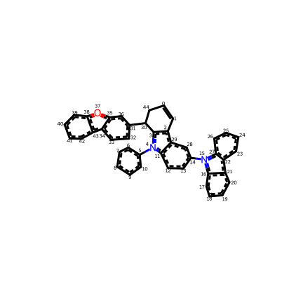 C1=Cc2c(n(-c3ccccc3)c3ccc(-n4c5ccccc5c5ccccc54)cc23)C(c2ccc3c(c2)oc2ccccc23)C1